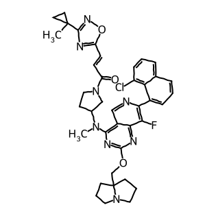 CN(c1nc(OCC23CCCN2CCC3)nc2c(F)c(-c3cccc4cccc(Cl)c34)ncc12)C1CCN(C(=O)/C=C/c2nc(C3(C)CC3)no2)C1